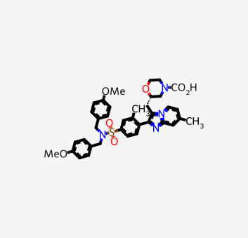 COc1ccc(CN(Cc2ccc(OC)cc2)S(=O)(=O)c2ccc(-c3nc4cc(C)ccn4c3C[C@H]3CN(C(=O)O)CCO3)c(C)c2)cc1